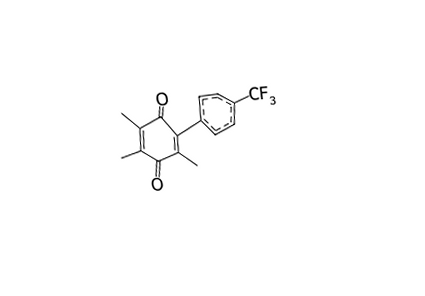 CC1=C(C)C(=O)C(c2ccc(C(F)(F)F)cc2)=C(C)C1=O